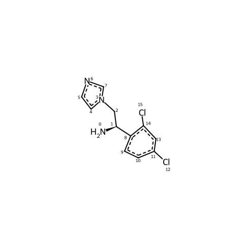 N[C@@H](Cn1ccnc1)c1ccc(Cl)cc1Cl